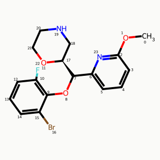 COc1cccc(C(Oc2c(F)cccc2Br)[C@@H]2CNCCO2)n1